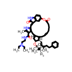 CCN(CC)CCNC(=O)c1c(C)[nH]c2c1C[C@H]1C[C@@H](O[Si](C)(C)C(C)(C)C)[C@H](CC[C@H](C)CCc3ccccc3)[C@H]1C/C=C\CCCC(=O)Oc1ccc3c(c1)/C(=C/2)C(=O)N3